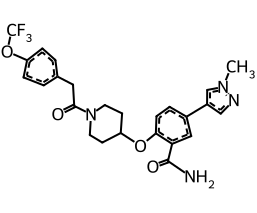 Cn1cc(-c2ccc(OC3CCN(C(=O)Cc4ccc(OC(F)(F)F)cc4)CC3)c(C(N)=O)c2)cn1